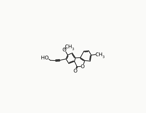 COc1cc2c(cc1C#CCO)c(=O)oc1cc(C)ccc12